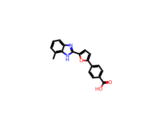 Cc1cccc2nc(-c3ccc(-c4ccc(C(=O)O)cc4)o3)[nH]c12